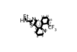 CCNc1ncc(-c2cccnc2-c2ccccc2C(F)(F)F)s1